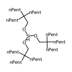 CCCCCC(CCCCC)(CCCCC)CO[SiH](OCC(CCCCC)(CCCCC)CCCCC)OCC(CCCCC)(CCCCC)CCCCC